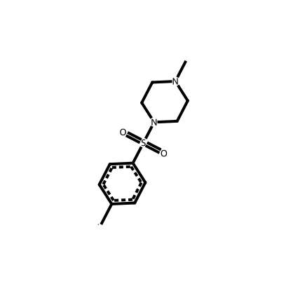 [CH2]c1ccc(S(=O)(=O)N2CCN(C)CC2)cc1